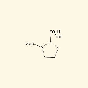 CON1CCCC1C(=O)O.Cl